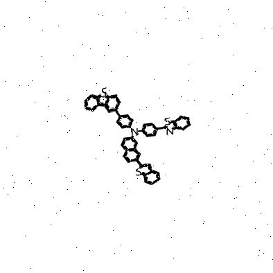 c1ccc2sc(-c3ccc4ccc(N(c5ccc(-c6ccc7sc8ccccc8c7c6)cc5)c5ccc(-c6nc7ccccc7s6)cc5)cc4c3)cc2c1